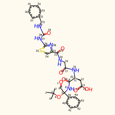 CC(C)(C)OC(C=O)(NC(=O)[C@H](CC(=O)O)NC(=O)CNC(=O)c1csc(NC(=O)NCc2ccccc2)n1)c1ccccc1